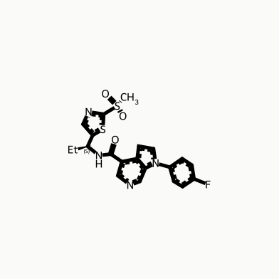 CC[C@H](NC(=O)c1cncc2c1ccn2-c1ccc(F)cc1)c1cnc(S(C)(=O)=O)s1